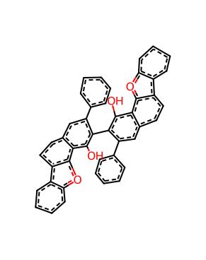 Oc1c(-c2c(-c3ccccc3)cc3ccc4c5ccccc5oc4c3c2O)c(-c2ccccc2)cc2ccc3c4ccccc4oc3c12